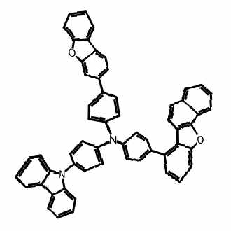 c1ccc2c(c1)ccc1c2oc2cccc(-c3ccc(N(c4ccc(-c5ccc6c(c5)oc5ccccc56)cc4)c4ccc(-n5c6ccccc6c6ccccc65)cc4)cc3)c21